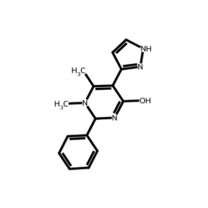 CC1=C(c2cc[nH]n2)C(O)=NC(c2ccccc2)N1C